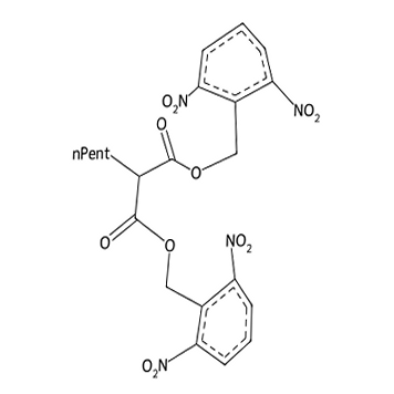 CCCCCC(C(=O)OCc1c([N+](=O)[O-])cccc1[N+](=O)[O-])C(=O)OCc1c([N+](=O)[O-])cccc1[N+](=O)[O-]